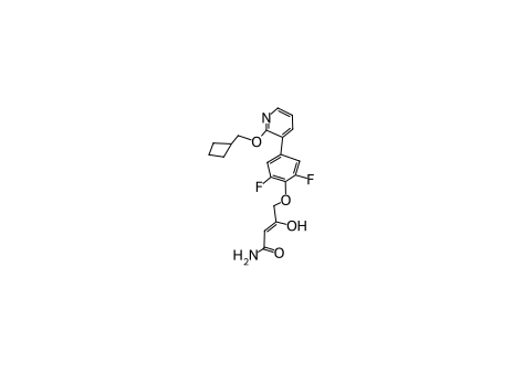 NC(=O)/C=C(\O)COc1c(F)cc(-c2cccnc2OCC2CCC2)cc1F